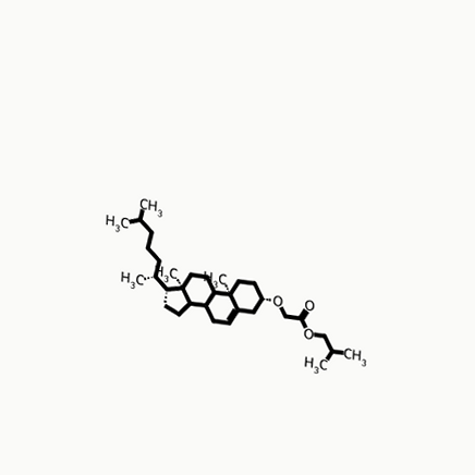 CC(C)CCC[C@@H](C)[C@H]1CCC2C3CC=C4C[C@@H](OCC(=O)OCC(C)C)CC[C@]4(C)C3CC[C@@]21C